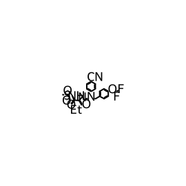 CCc1oc(N(Cc2ccc(OC(F)F)cc2)c2ccc(C#N)cc2)nc1C(=O)NS(C)(=O)=O